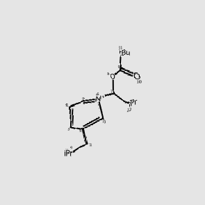 CC(C)Cc1ccc[n+](C(OC(=O)C(C)(C)C)C(C)C)c1